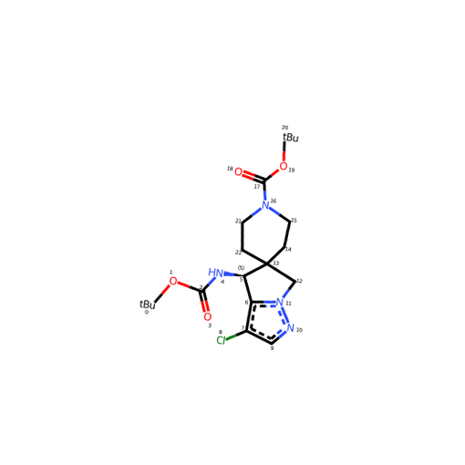 CC(C)(C)OC(=O)N[C@@H]1c2c(Cl)cnn2CC12CCN(C(=O)OC(C)(C)C)CC2